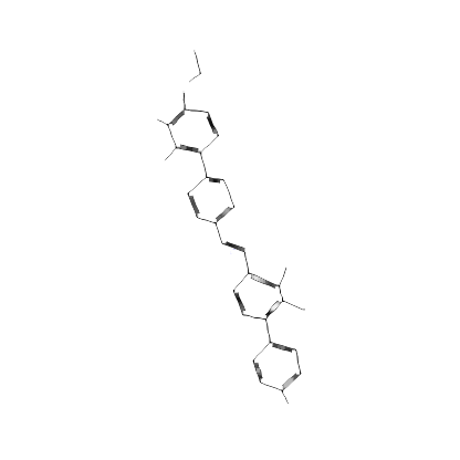 CCOc1ccc(-c2ccc(/C=C/c3ccc(-c4ccc(C)cc4)c(F)c3F)cc2)c(F)c1F